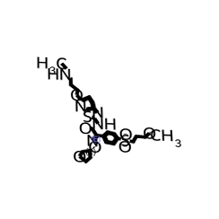 CCNCCCOc1ccc2nc(NC(=O)/C(=N/O[C@@H]3CCOC3)c3ccc(S(=O)(=O)CCCOC)cc3)sc2n1